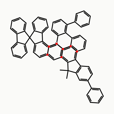 CC1(C)c2cc(-c3ccccc3)ccc2-c2ccc(N(c3cccc(-c4ccccc4)c3-c3ccccc3-c3ccccc3)c3cccc4c3-c3ccccc3C43c4ccccc4-c4ccccc43)cc21